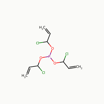 C=CC(Cl)OP(OC(Cl)C=C)OC(Cl)C=C